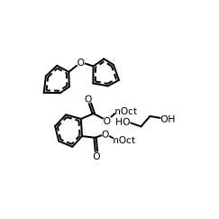 CCCCCCCCOC(=O)c1ccccc1C(=O)OCCCCCCCC.OCCO.c1ccc(Oc2ccccc2)cc1